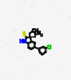 CCC1(CC)C(=S)Nc2ccc(-c3cccc(Cl)c3)cc21